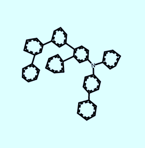 c1ccc(-c2ccc(N(c3ccccc3)c3ccc(-c4cccc(-c5cccc(-c6ccccc6)c5)c4)c(-c4ccccc4)c3)cc2)cc1